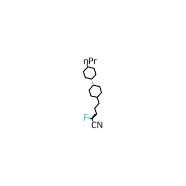 CCC[C@H]1CC[C@H](C2CCC(CCC=C(F)C#N)CC2)CC1